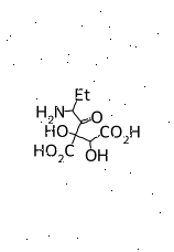 CCC(N)C(=O)C(O)(C(=O)O)C(O)C(=O)O